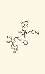 COc1ccc(CCNC(=O)[C@H](CC[C@H](CNCc2ccccc2)C[C@H]2O[C@@H](n3cnc4c(N)ncnc43)C(O)C2O)NC(=O)CC(C)(C)C2=C(C)CC(C)=CC2=O)cc1